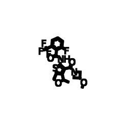 COC1CN(C(=O)c2c(NC(=O)c3c(F)cccc3C(F)(F)F)sc3c2C(C)OC3)C1